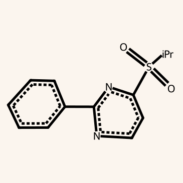 CC(C)S(=O)(=O)c1ccnc(-c2ccccc2)n1